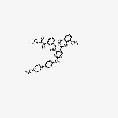 C=CC(=O)Nc1cccc(CNc2nc(Nc3ccc(N4CCN(C)CC4)cc3)ncc2C(=O)Nc2c(C)cccc2Cl)c1